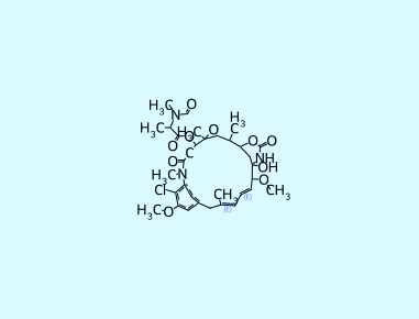 COc1cc2cc(c1Cl)N(C)C(=O)CC(OC(=O)C(C)N(C)C=O)C1(C)OC1C(C)C1CC(O)(NC(=O)O1)C(OC)/C=C/C=C(\C)C2